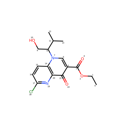 CCOC(=O)c1cn(C(CO)C(C)C)c2ccc(Cl)nc2c1=O